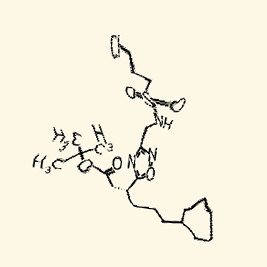 CC(C)(C)OC(=O)C[C@@H](CCCC1CCCCC1)c1nc(CNS(=O)(=O)CCCCl)no1